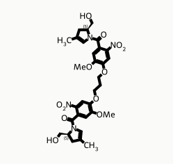 COc1cc(C(=O)N2C=C(C)C[C@H]2CO)c([N+](=O)[O-])cc1OCCCOc1cc([N+](=O)[O-])c(C(=O)N2C=C(C)C[C@H]2CO)cc1OC